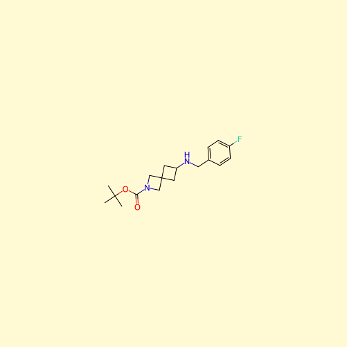 CC(C)(C)OC(=O)N1CC2(CC(NCc3ccc(F)cc3)C2)C1